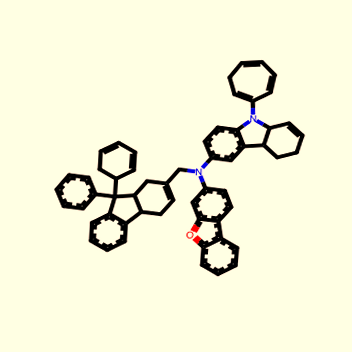 C1=CCC=C(N2c3ccc(N(CC4=CCC5c6ccccc6C(c6ccccc6)(C6C=CC=CC6)C5C4)c4ccc5c(c4)oc4ccccc45)cc3C3CCC=CC32)C=C1